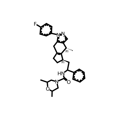 CC1CN(C(=O)NC(C[C@H]2CCC3=C2[C@@H](C)c2cnn(-c4ccc(F)cc4)c2C3)c2ccccc2)CC(C)O1